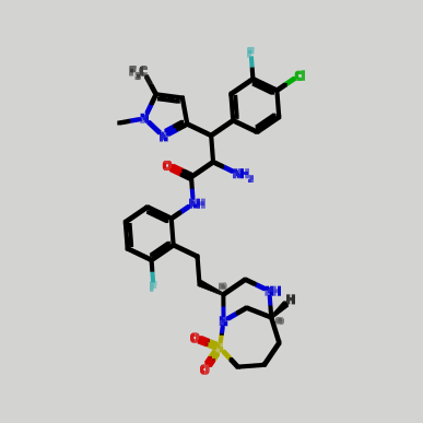 Cn1nc(C(c2ccc(Cl)c(F)c2)C(N)C(=O)Nc2cccc(F)c2CC[C@H]2CN[C@@H]3CCCS(=O)(=O)N2C3)cc1C(F)(F)F